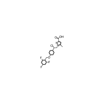 Cc1cc(C(=O)O)nn1CC(Cl)c1ccc(OCc2c(F)cc(F)cc2F)cc1